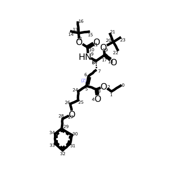 CCOC(=O)/C(=C\C[C@H](NC(=O)OC(C)(C)C)C(=O)OC(C)(C)C)CCCOCc1ccccc1